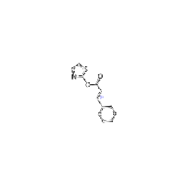 O=C(/C=C/c1ccccc1)Oc1nccs1